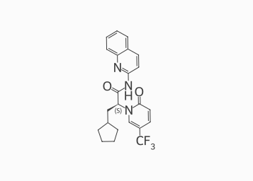 O=C(Nc1ccc2ccccc2n1)[C@H](CC1CCCC1)n1cc(C(F)(F)F)ccc1=O